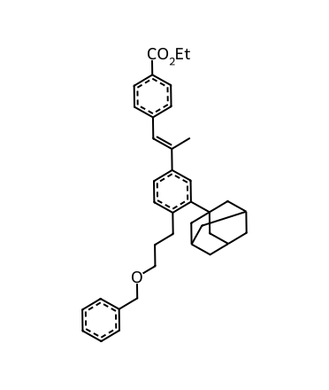 CCOC(=O)c1ccc(/C=C(\C)c2ccc(CCCOCc3ccccc3)c(C34CC5CC(CC(C5)C3)C4)c2)cc1